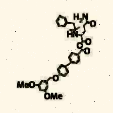 COc1cc(COc2ccc(-c3ccc(C(=O)OC(=O)[C@H](CCC(N)=O)NC(C)(C)Cc4ccccc4)cc3)cc2)cc(OC)c1